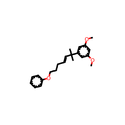 COc1cc(OC)cc(C(C)(C)C=CCCCOc2ccccc2)c1